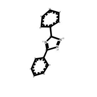 c1ccc(C2=NC(c3ccccc3)N=N2)cc1